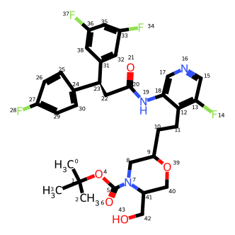 CC(C)(C)OC(=O)N1CC(CCc2c(F)cncc2NC(=O)C[C@@H](c2ccc(F)cc2)c2cc(F)cc(F)c2)OCC1CO